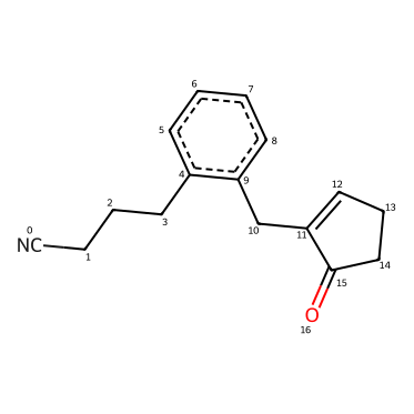 N#CCCCc1ccccc1CC1=CCCC1=O